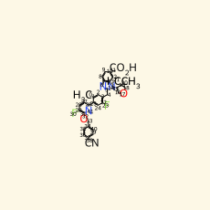 Cc1cc(Cc2nc3ccc(C(=O)O)cc3n2C2COCC2(C)C)c(F)cc1-c1ccc(F)c(OCc2ccc(C#N)cc2)n1